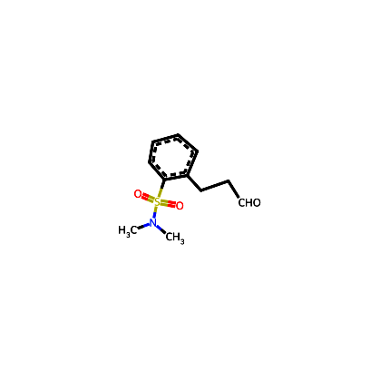 CN(C)S(=O)(=O)c1ccccc1CCC=O